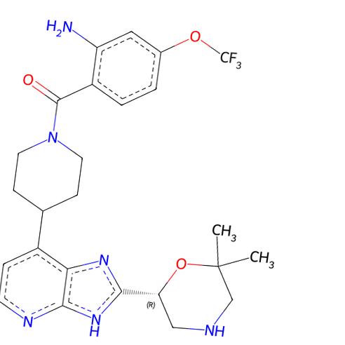 CC1(C)CNC[C@H](c2nc3c(C4CCN(C(=O)c5ccc(OC(F)(F)F)cc5N)CC4)ccnc3[nH]2)O1